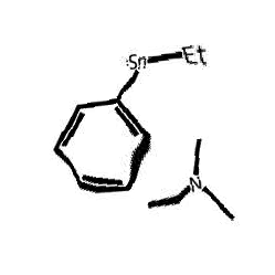 CN(C)C.C[CH2][Sn][c]1ccccc1